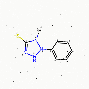 [2H]N1C(S)=NNN1c1ccccc1